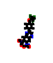 O=[N+]([O-])c1cc2ncc(-c3ccc(OC(F)(F)F)cc3)nc2cc1[N+](=O)[O-]